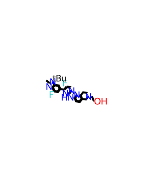 Cc1nc2c(F)cc(-c3nc(Nc4ccc5c(n4)CCN(CCO)C5)ncc3F)cc2n1C(C)(C)C